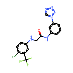 O=C(CNc1ccc(Cl)c(C(F)(F)F)c1)Nc1cccc(-n2cnnn2)c1